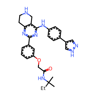 CCC(C)(C)NC(=O)COc1cccc(-c2nc3c(c(Nc4ccc(-c5cn[nH]c5)cc4)n2)CNCC3)c1